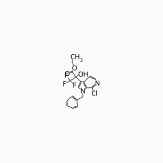 CCOC(=O)C(O)(c1cn(Cc2ccccc2)c2c(Cl)nccc12)C(F)(F)F